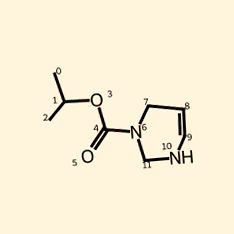 CC(C)OC(=O)N1CC=CNC1